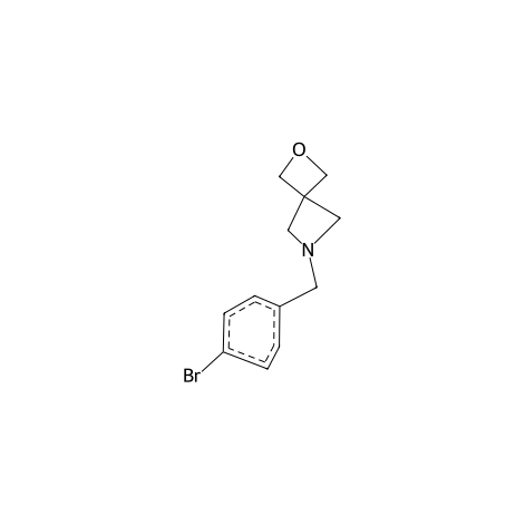 Brc1ccc(CN2CC3(COC3)C2)cc1